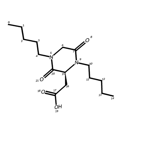 CCCCCN1CC(=O)N(CCCCC)[C@@H](CC(=O)O)C1=O